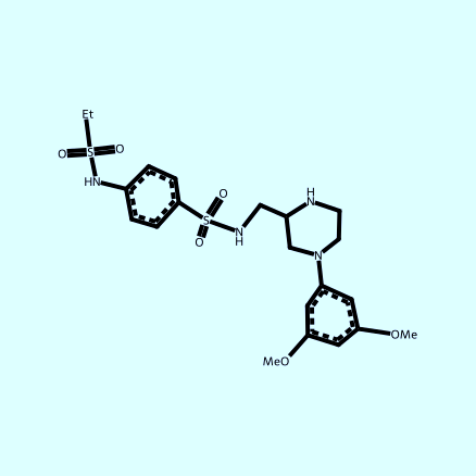 CCS(=O)(=O)Nc1ccc(S(=O)(=O)NCC2CN(c3cc(OC)cc(OC)c3)CCN2)cc1